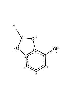 Oc1cccc2c1OC(I)O2